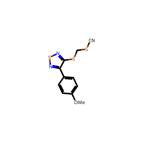 COc1ccc(-c2nsnc2SCSC#N)cc1